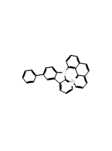 c1ccc(-c2ccc3c(c2)c2cccnc2n3-c2cccc3ccc4cccnc4c23)cc1